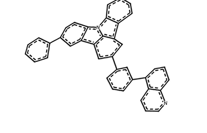 c1ccc(-c2ccc3c(c2)c2cc(-c4cccc(-c5cccc6ncccc56)c4)cc4c5ccccc5n3c42)cc1